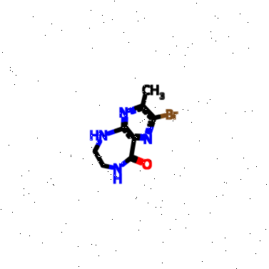 Cc1nc2c(nc1Br)C(=O)NCCN2